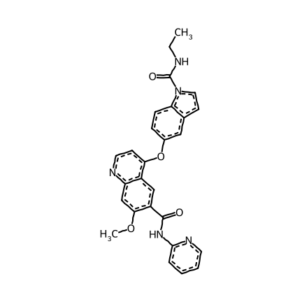 CCNC(=O)n1ccc2cc(Oc3ccnc4cc(OC)c(C(=O)Nc5ccccn5)cc34)ccc21